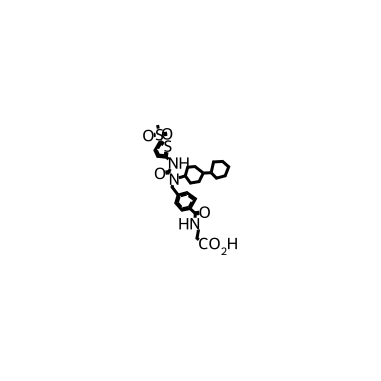 CS(=O)(=O)c1ccc(NC(=O)N(Cc2ccc(C(=O)NCCC(=O)O)cc2)C2CCC(C3CCCCC3)CC2)s1